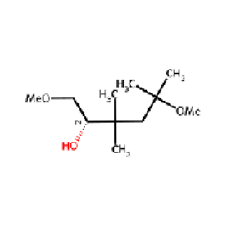 COC[C@@H](O)C(C)(C)CC(C)(C)OC